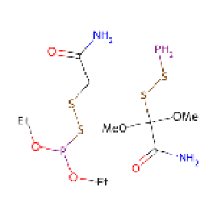 CCOP(OCC)SSCC(N)=O.COC(OC)(SSP)C(N)=O